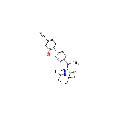 CN(c1ccc(-c2ccc(C#N)cc2O)nn1)[C@@H]1C[C@H]2CCC[C@H](N2)[C@@H]1F